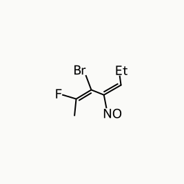 CC/C=C(N=O)\C(Br)=C(/C)F